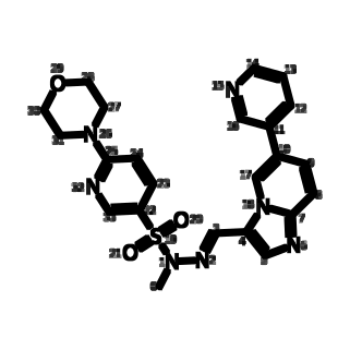 CN(/N=C/c1cnc2ccc(-c3cccnc3)cn12)S(=O)(=O)c1ccc(N2CCOCC2)nc1